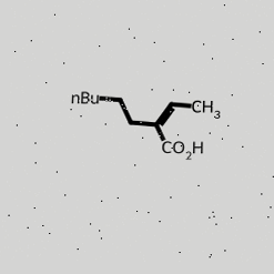 CC=C(CCCCCC)C(=O)O